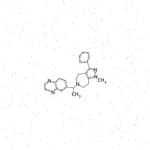 CC(c1ccc2nccnc2c1)N1CCc2c(-c3ccccc3)nn(C)c2CC1